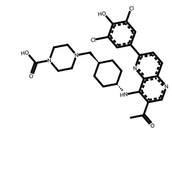 CC(=O)c1cnc2ccc(-c3cc(Cl)c(O)c(Cl)c3)nc2c1N[C@H]1CC[C@H](CN2CCN(C(=O)O)CC2)CC1